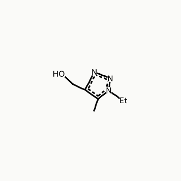 CCn1nnc(CO)c1C